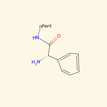 CCCCCNC(=O)[C@@H](N)c1ccccc1